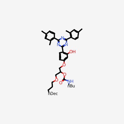 CCCCCCCCCCCCCOCC(COc1ccc(-c2nc(-c3ccc(C)cc3C)nc(-c3ccc(C)cc3C)n2)c(O)c1)OC(=O)NCCCC